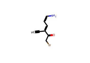 C#C/C(=C\C=C/N)C(=O)CBr